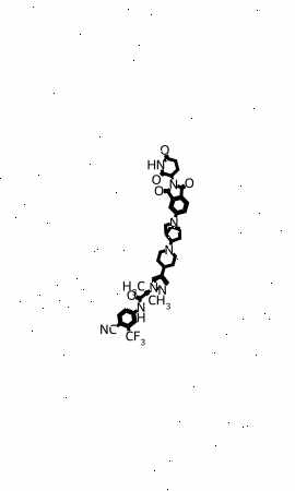 CC(C)(C(=O)Nc1ccc(C#N)c(C(F)(F)F)c1)n1cc(C2CCN(C3CC4CC3CN4c3ccc4c(c3)C(=O)N(C3CCC(=O)NC3=O)C4=O)CC2)cn1